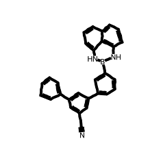 N#Cc1cc(-c2ccccc2)cc(-c2cccc(B3Nc4cccc5cccc(c45)N3)c2)c1